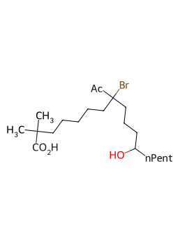 CCCCCC(O)CCCC(Br)(CCCCCC(C)(C)C(=O)O)C(C)=O